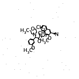 COc1cccc(C(C(=O)N(C)Cc2c(OC)c(C#N)cc3ccccc23)N2C[C@@H](C)O[C@@H](C)C2)c1